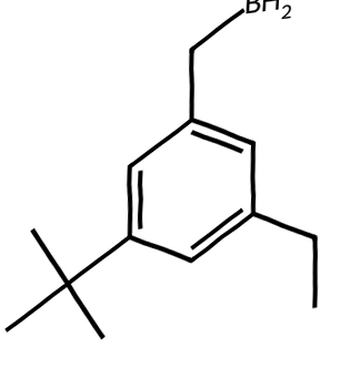 BCc1cc(CC)cc(C(C)(C)C)c1